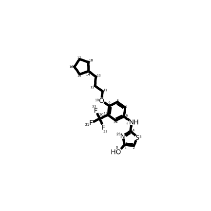 Oc1csc(Nc2ccc(OCCCC3CCCC3)c(C(F)(F)F)c2)n1